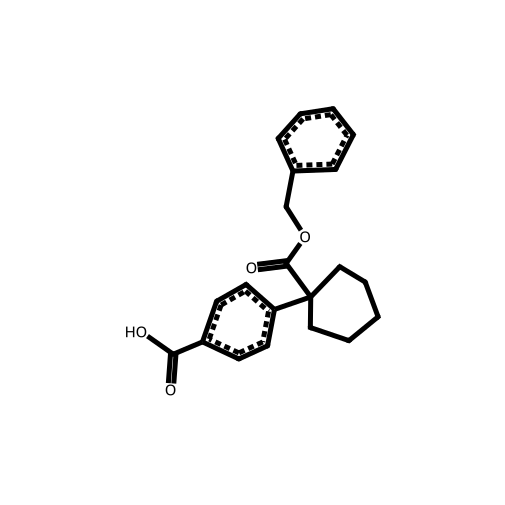 O=C(O)c1ccc(C2(C(=O)OCc3ccccc3)CCCCC2)cc1